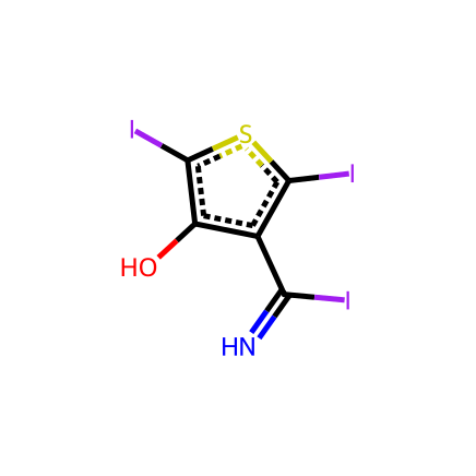 N=C(I)c1c(I)sc(I)c1O